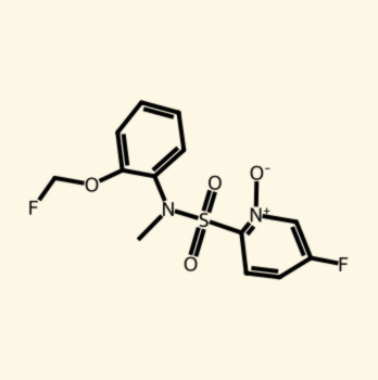 CN(c1ccccc1OCF)S(=O)(=O)c1ccc(F)c[n+]1[O-]